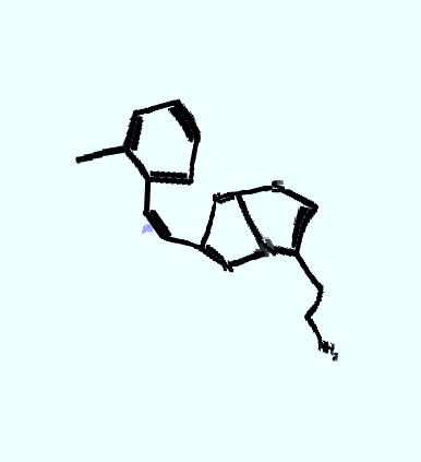 Cc1ccccc1/C=C\c1nc2scc(CCN)n2n1